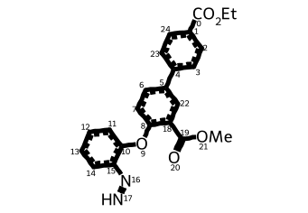 CCOC(=O)c1ccc(-c2ccc(Oc3ccccc3N=N)c(C(=O)OC)c2)cc1